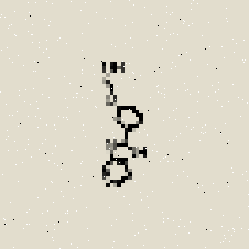 OCCOc1cccc(-c2nc3cnccc3[nH]2)c1